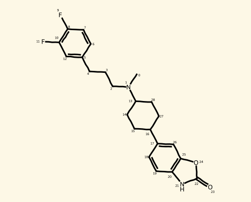 CN(CCCc1ccc(F)c(F)c1)C1CCC(c2ccc3[nH]c(=O)oc3c2)CC1